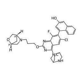 Oc1cc(-c2c(Cl)cc3c(N4CC5CCCC4CN5)nc(OCCCN4C[C@H]5C[C@@H]4CO5)nc3c2F)c2ccccc2c1